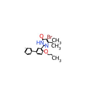 CCCOc1ccc(-c2c[c]ccc2)cc1-c1nc(C(C)C)c(Br)c(=O)[nH]1